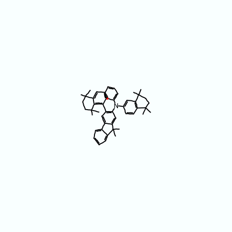 CC1(C)CCC(C)(C)c2cc(N(c3ccccc3)c3cc4c(cc3-c3cccc5c3C(C)(C)CCC5(C)C)-c3ccccc3C4(C)C)ccc21